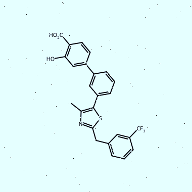 Cc1nc(Cc2cccc(C(F)(F)F)c2)sc1-c1cccc(-c2ccc(C(=O)O)c(O)c2)c1